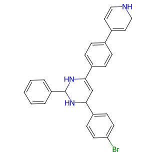 Brc1ccc(C2C=C(c3ccc(C4=CCNC=C4)cc3)NC(c3ccccc3)N2)cc1